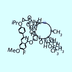 COc1cc2cc(-c3ccc(OC(C)C)cc3)nc(O[C@@H]3C[C@H]4C(=O)N[C@]5(C(=O)NS(=O)(=O)C6CC6)C[C@H]5/C=C\CC[C@@H](C)C[C@@H](C)[C@H](NC(=O)OC(C)(C)C(F)(F)F)C(=O)N4C3)c2cc1F